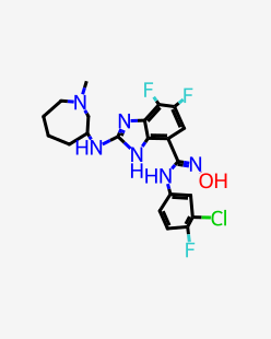 CN1CCCCC(Nc2nc3c(F)c(F)cc(/C(=N/O)Nc4ccc(F)c(Cl)c4)c3[nH]2)C1